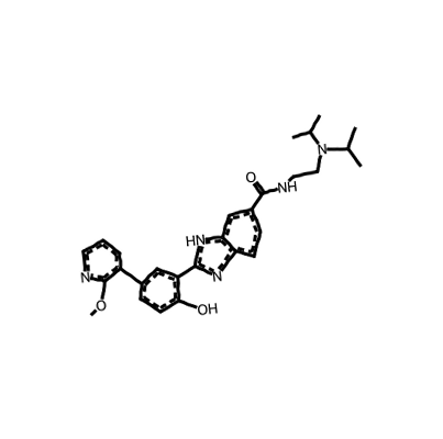 COc1ncccc1-c1ccc(O)c(-c2nc3ccc(C(=O)NCCN(C(C)C)C(C)C)cc3[nH]2)c1